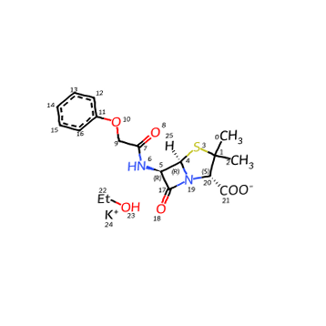 CC1(C)S[C@@H]2[C@H](NC(=O)COc3ccccc3)C(=O)N2[C@H]1C(=O)[O-].CCO.[K+]